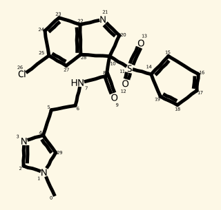 Cn1cnc(CCNC(=O)C2(S(=O)(=O)c3ccccc3)C=Nc3ccc(Cl)cc32)c1